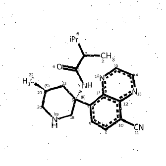 CC(C)C(C)C(=O)N[C@]1(c2ccc(C#N)c3nccnc23)CNC[C@@H](C)C1